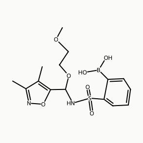 COCCOC(NS(=O)(=O)c1ccccc1B(O)O)c1onc(C)c1C